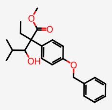 CCC(C(=O)OC)(c1ccc(OCc2ccccc2)cc1)C(O)C(C)C